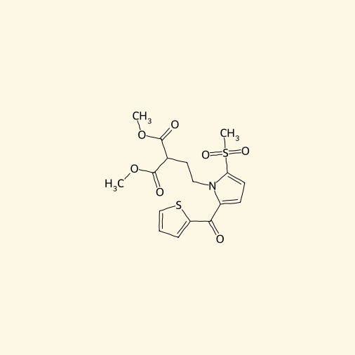 COC(=O)C(CCn1c(C(=O)c2cccs2)ccc1S(C)(=O)=O)C(=O)OC